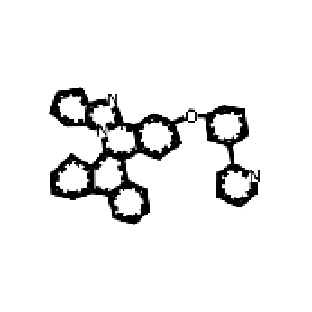 c1ccc(-c2cccc(Oc3ccc4c(c3)c3nc5ccccc5n3c3c5ccccc5c5ccccc5c43)c2)nc1